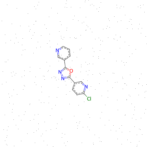 Clc1ccc(-c2nnc(-c3cccnc3)o2)cn1